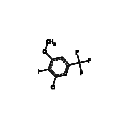 COc1cc(C(F)(F)F)cc(Cl)c1I